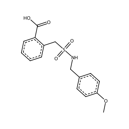 COc1ccc(CNS(=O)(=O)Cc2ccccc2C(=O)O)cc1